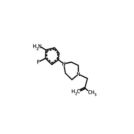 C=C(C)CN1CCN(c2ccc(N)c(F)c2)CC1